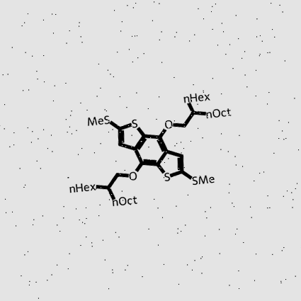 CCCCCCCCC(CCCCCC)COc1c2cc(SC)sc2c(OCC(CCCCCC)CCCCCCCC)c2cc(SC)sc12